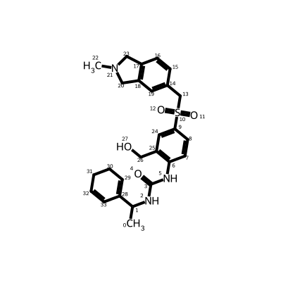 CC(NC(=O)Nc1ccc(S(=O)(=O)Cc2ccc3c(c2)CN(C)C3)cc1CO)C1=CCCC=C1